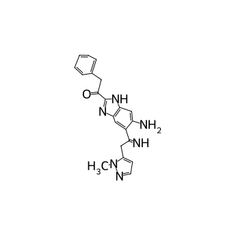 Cn1nccc1CC(=N)c1cc2nc(C(=O)Cc3ccccc3)[nH]c2cc1N